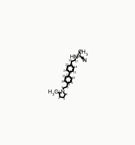 CC1CCCN1CCc1ccc(-c2ccc(CCNN(C)C#N)cc2)cc1